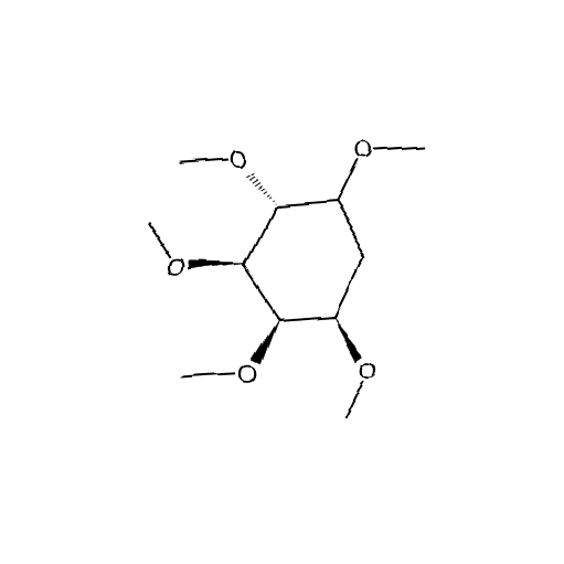 COC1C[C@@H](OC)[C@@H](OC)[C@@H](OC)[C@@H]1OC